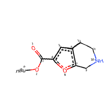 CCCCOC(=O)c1cc2c(o1)CNCC2